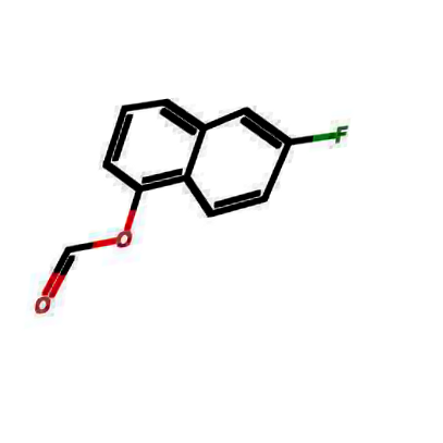 O=COc1cccc2cc(F)ccc12